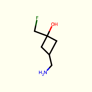 NCC1CC(O)(CF)C1